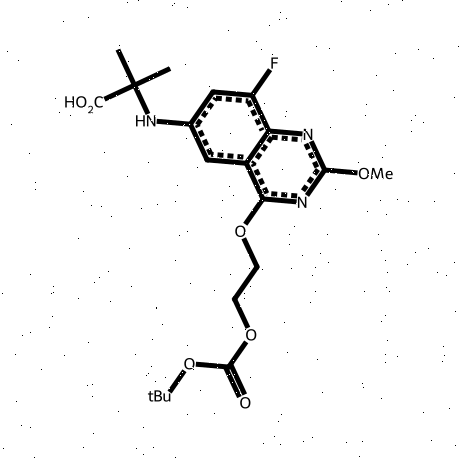 COc1nc(OCCOC(=O)OC(C)(C)C)c2cc(NC(C)(C)C(=O)O)cc(F)c2n1